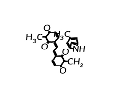 CC1C(=O)C=CC(=CC=C2C=CC(=O)C(C)C2=O)C1=O.Cc1cc2cc(c1)N2